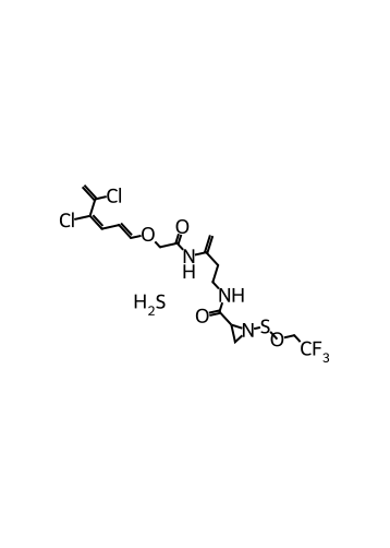 C=C(CCNC(=O)C1CN1SOCC(F)(F)F)NC(=O)CO/C=C/C=C(/Cl)C(=C)Cl.S